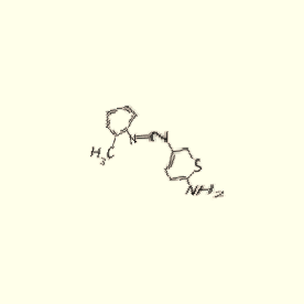 Cc1ccccc1N=NC1=CC=C(N)SC1